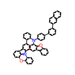 c1cc(-c2ccc(N(c3ccccc3-c3ccc4c(c3)c3cccc5c3n4-c3ccccc3O5)c3cccc4c3oc3ccccc34)cc2)cc(-c2ccc3ccccc3c2)c1